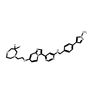 Cn1cc(-c2ccc(CNc3cc(-c4cnc5cc(OCCN6CCOCC(F)(F)C6)ccn45)ncn3)cc2)cn1